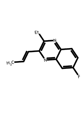 C/C=C/c1nc2cc(F)ccc2nc1CC